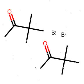 CC(=O)C(C)(C)C.CC(=O)C(C)(C)C.[B].[B]